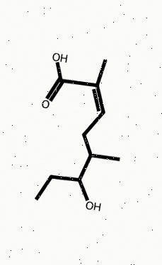 CCC(O)C(C)CC=C(C)C(=O)O